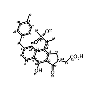 Cc1ccc(Cc2cnc3c(O)c4c(c(N(C)S(C)(=O)=O)c3c2)CN(CC(=O)O)C4=O)cc1